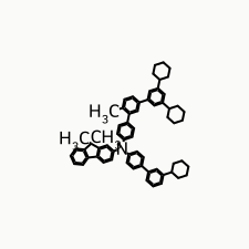 Cc1ccc(-c2cc(C3CCCCC3)cc(C3CCCCC3)c2)cc1-c1ccc(N(c2ccc(-c3cccc(C4CCCCC4)c3)cc2)c2ccc3c(c2)C(C)(C)c2ccccc2-3)cc1